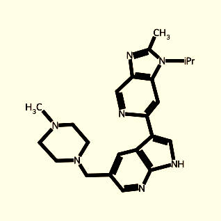 Cc1nc2cnc(-c3c[nH]c4ncc(CN5CCN(C)CC5)cc34)cc2n1C(C)C